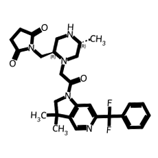 C[C@@H]1CN(CC(=O)N2CC(C)(C)c3cnc(C(F)(F)c4ccccc4)cc32)[C@@H](CN2C(=O)CCC2=O)CN1